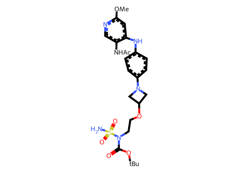 COc1cc(Nc2ccc(N3CC(OCCN(C(=O)OC(C)(C)C)S(N)(=O)=O)C3)cc2)c(NC(C)=O)cn1